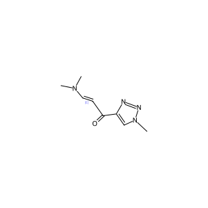 CN(C)/C=C/C(=O)c1cn(C)nn1